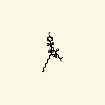 CCCCCCCCCC(=O)N[C@@H](CNS(=O)(=O)c1ccc(F)cc1)C(=O)NCCC(C)C